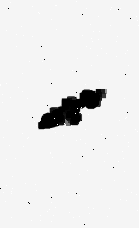 Cc1ccc(S(=O)(=O)OC[C@H]2CO[C@@](CCc3ccc(F)cc3)(Cn3ccnc3)O2)cc1